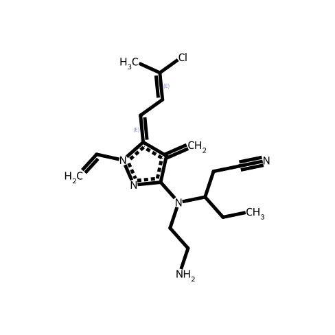 C=Cn1nc(N(CCN)C(CC)CC#N)c(=C)/c1=C\C=C(/C)Cl